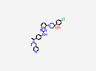 C=C(c1ccc(Nc2nc3c(N4CCC(O)(c5ccc(Cl)cc5)CC4)cccn3n2)cc1)N(CC)Cc1ccncc1